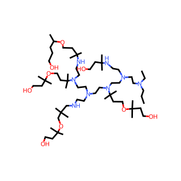 CCCN(CC)CCN(CCNC(C)(C)CCO)CCN(CCN(CCNCC(C)(C)COC(C)(C)CCO)CCN(CCNC(C)(C)CCOC(C)CCCO)C(C)(C)CCOC(C)(C)CCO)C(C)(C)CCOC(C)(C)CCO